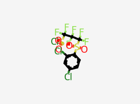 O=S(=O)(Cl)C(F)(F)C(F)(F)C(F)(F)S(=O)(=O)c1ccc(Cl)cc1Cl